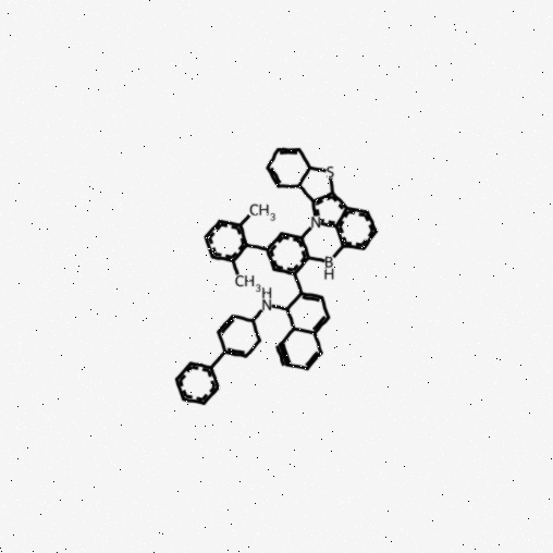 Cc1cccc(C)c1-c1cc(C2=CC=C3C=CC#CC3C2NC2C=CC(c3ccccc3)=CC2)c2c(c1)-n1c3c(c4cccc(c41)B2)SC1C=CC=CC31